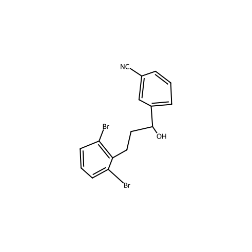 N#Cc1cccc(C(O)CCc2c(Br)cccc2Br)c1